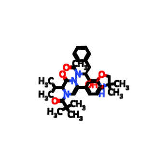 CC(=O)N([C@@H](Cc1ccccc1)C(O)C1NC(C)(C)CO1)N1C(=O)C(C(C)C)N(C(=O)C(C)(C)C)C=C1c1ccccc1